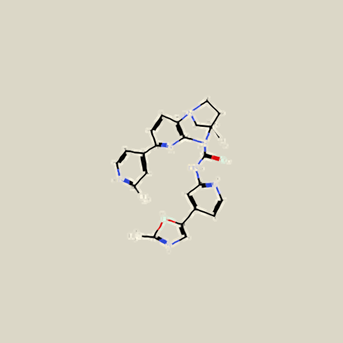 Cc1ncc(-c2ccnc(NC(=O)N3c4nc(-c5ccnc(C(F)(F)F)c5)ccc4N4CC[C@H]3C4)c2)o1